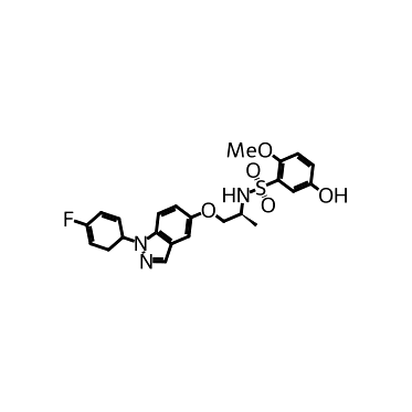 COc1ccc(O)cc1S(=O)(=O)N[C@@H](C)COc1ccc2c(cnn2C2C=CC(F)=CC2)c1